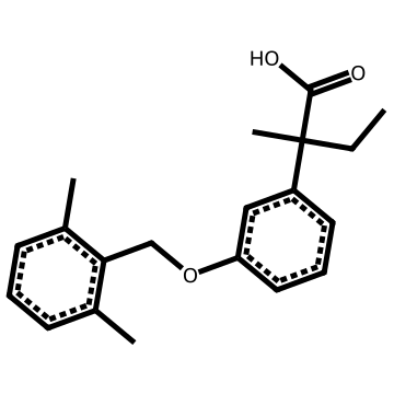 CCC(C)(C(=O)O)c1cccc(OCc2c(C)cccc2C)c1